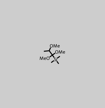 COC(C)C(OC)(OC)[Si](C)(C)C